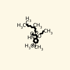 CCCCOc1c(OCC=C(C)CCC=C(C)C)c(=O)[nH]c2cc(N(C)C)ccc12